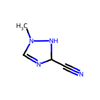 CN1C=NC(C#N)N1